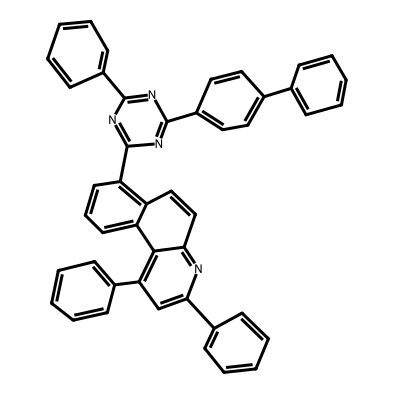 c1ccc(-c2ccc(-c3nc(-c4ccccc4)nc(-c4cccc5c4ccc4nc(-c6ccccc6)cc(-c6ccccc6)c45)n3)cc2)cc1